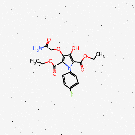 CCOC(=O)c1c(O)c(OCC(N)=O)c(C(=O)OCC)n1-c1ccc(F)cc1